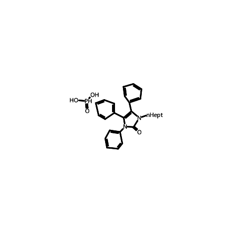 CCCCCCCn1c(-c2ccccc2)c(-c2ccccc2)n(-c2ccccc2)c1=O.O=[PH](O)O